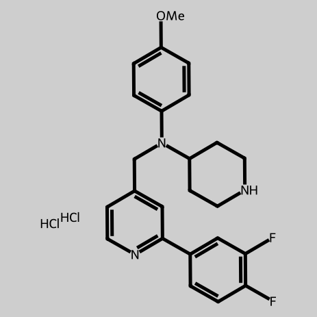 COc1ccc(N(Cc2ccnc(-c3ccc(F)c(F)c3)c2)C2CCNCC2)cc1.Cl.Cl